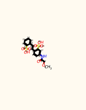 COCC(=O)Nc1ccc(C=Cc2ccccc2S(=O)(=O)O)c(S(=O)(=O)O)c1